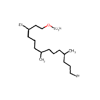 CCC(CCCC(C)CCCC(C)CCCC(C)C)CCOS(=O)(=O)O